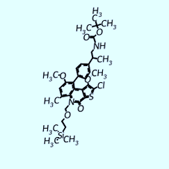 COc1cc(C)c2c(c1-c1ccc(C(C)CNC(=O)OC(C)(C)C)cc1)c1c(OC)c(Cl)sc1c(=O)n2COCC[Si](C)(C)C